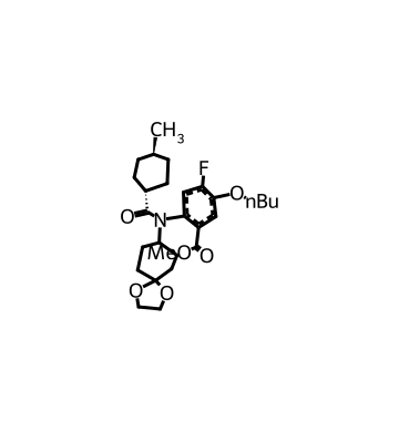 CCCCOc1cc(C(=O)OC)c(N(C(=O)[C@H]2CC[C@H](C)CC2)C2CCC3(CC2)OCCO3)cc1F